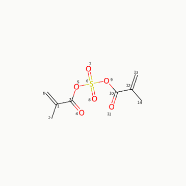 C=C(C)C(=O)OS(=O)(=O)OC(=O)C(=C)C